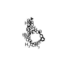 CC[C@@H]1C[C@]1(NC(=O)[C@@H]1C[C@@H]2CN1C(=O)[C@H](C(C)(C)C)NC(=O)OCC(C)(C)CCCCc1cccc3c1CC(C3)C(=O)O2)C(=O)NS(=O)(=O)C1CC1